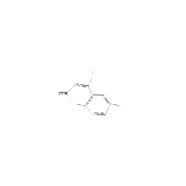 Cc1ccc2oc(=O)cc(Br)c2c1